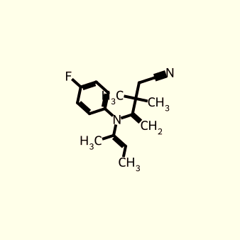 C=C(N(/C(C)=C/C)c1ccc(F)cc1)C(C)(C)CC#N